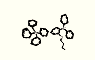 CCCCOc1ccccc1[S+](c1ccccc1)c1ccccc1.c1ccc([B-](c2ccccc2)(c2ccccc2)c2ccccc2)cc1